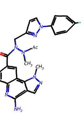 CC(=O)N(C)N(Cc1ccn(-c2ccc(F)cc2)n1)C(=O)c1ccc2nc(N)c3cnn(C)c3c2c1